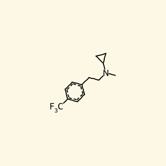 CN(CCc1ccc(C(F)(F)F)cc1)C1CC1